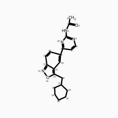 CC(=O)Nc1nccc(-c2ccc3noc(CC4CCCCC4)c3c2)n1